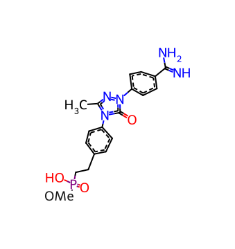 COP(=O)(O)CCc1ccc(-n2c(C)nn(-c3ccc(C(=N)N)cc3)c2=O)cc1